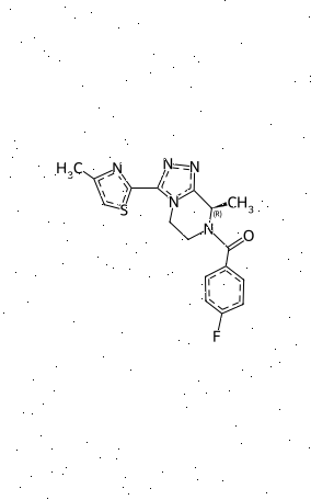 Cc1csc(-c2nnc3n2CCN(C(=O)c2ccc(F)cc2)[C@@H]3C)n1